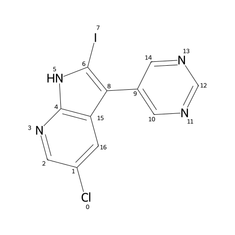 Clc1cnc2[nH]c(I)c(-c3cncnc3)c2c1